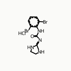 Cl.O=C(N=C1NCCN1)Nc1c(Br)cccc1Br